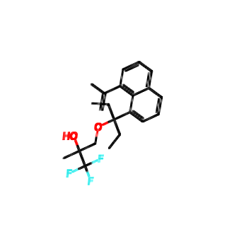 C=C(C)c1cccc2cccc(C(CC)(CC)OCC(C)(O)C(F)(F)F)c12